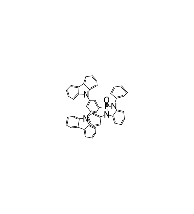 O=P1(c2cc(-n3c4ccccc4c4ccccc43)cc(-n3c4ccccc4c4ccccc43)c2)N(c2ccccc2)c2ccccc2N1c1ccccc1